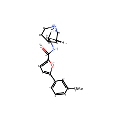 COc1cccc(-c2ccc(C(=O)N[C@H]3CN4CCC3CC4)o2)c1